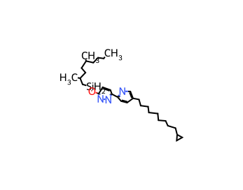 CCCCC(C)CCC(C)C[SiH2]Oc1ccc(-c2ccc(CCCCCCCCCC3CC3)cn2)nn1